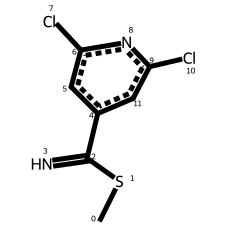 CSC(=N)c1cc(Cl)nc(Cl)c1